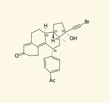 CC(=O)c1ccc([C@H]2C[C@@]3(C)[C@@H](CC[C@@]3(O)C#CBr)[C@@H]3CCC4=CC(=O)CCC4=C32)cc1